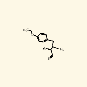 CCOc1ccc(CC(C)C(Br)C=O)cc1